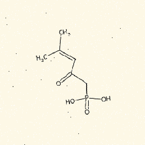 CC(C)=CC(=O)CP(=O)(O)O